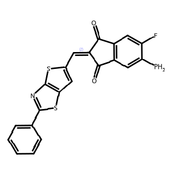 O=C1/C(=C/c2cc3sc(-c4ccccc4)nc3s2)C(=O)c2cc(P)c(F)cc21